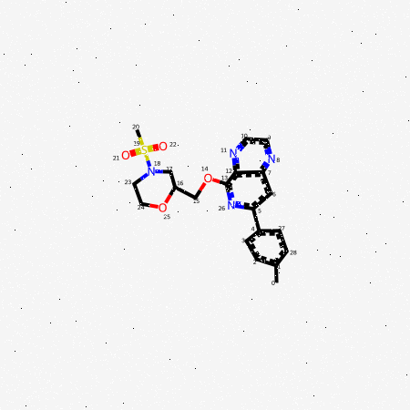 Cc1ccc(-c2cc3nccnc3c(OCC3CN(S(C)(=O)=O)CCO3)n2)cc1